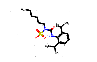 CCCCCCN(C(=O)Nc1c(C(C)C)cccc1C(C)C)S(=O)(=O)O